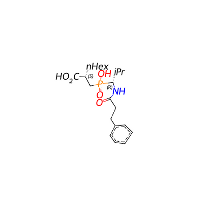 CCCCCC[C@H](CP(=O)(O)[C@@H](NC(=O)CCc1ccccc1)C(C)C)C(=O)O